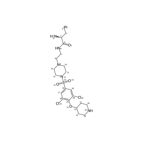 CC(C)C[C@H](N)C(=O)NCCN1CCN(S(=O)(=O)c2cc(Cl)c(OC3CCNCC3)c(Cl)c2)CC1